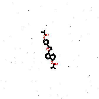 C=C(C)C(=O)Oc1ccc(-c2ccc(-c3cccc4c(OC(=O)C(=C)C)cccc34)o2)cc1